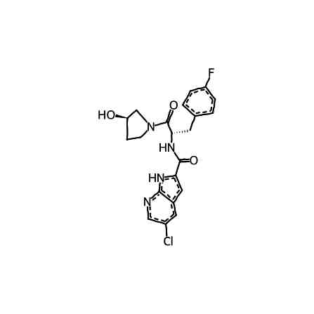 O=C(N[C@@H](Cc1ccc(F)cc1)C(=O)N1CC[C@@H](O)C1)c1cc2cc(Cl)cnc2[nH]1